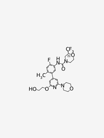 Cc1cc(F)c(NC(=O)N2CCO[C@H](C(F)(F)F)C2)cc1-c1cc(OCCO)nc(N2CCOCC2)c1